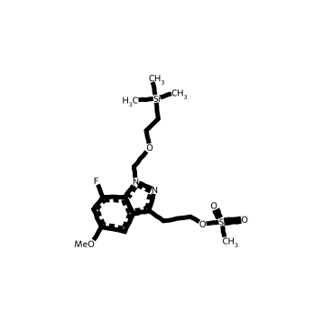 COc1cc(F)c2c(c1)c(CCOS(C)(=O)=O)nn2COCC[Si](C)(C)C